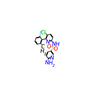 Cc1cccc(F)c1-c1nc(NS(=O)(=O)c2ccc(N)nc2)ccc1Cl